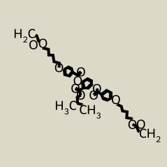 C=CC(=O)OCCCCCCOc1ccc(C(=O)Oc2ccc(OC(=O)c3ccc(OCCCCCCOC(=O)C=C)cc3)c(C(=O)OCC(C)CC)c2)cc1